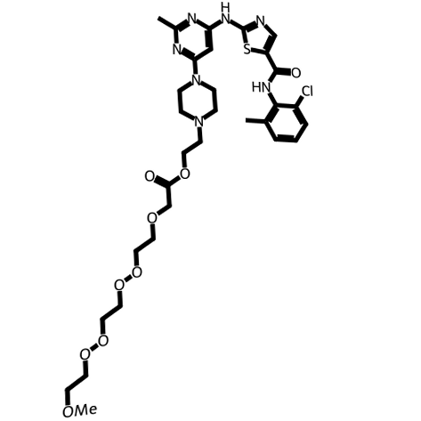 COCCOOCCOOCCOCC(=O)OCCN1CCN(c2cc(Nc3ncc(C(=O)Nc4c(C)cccc4Cl)s3)nc(C)n2)CC1